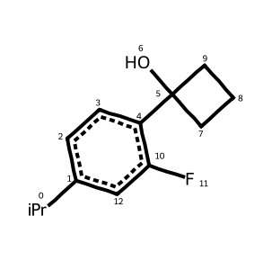 CC(C)c1ccc(C2(O)CCC2)c(F)c1